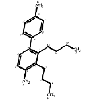 CCCCc1c(N)ccc(-c2ccc(N)cc2)c1CCCC